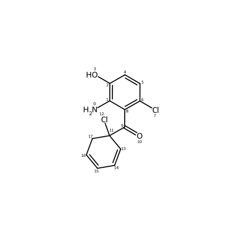 Nc1c(O)ccc(Cl)c1C(=O)C1(Cl)C=CC=CC1